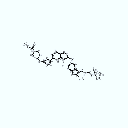 Cc1nc2ccc(Oc3ccc4ncc(-c5cnn(CC6CCN(C(=O)OC(C)(C)C)CC6)c5)nc4c3F)cc2n1COCC[Si](C)(C)C